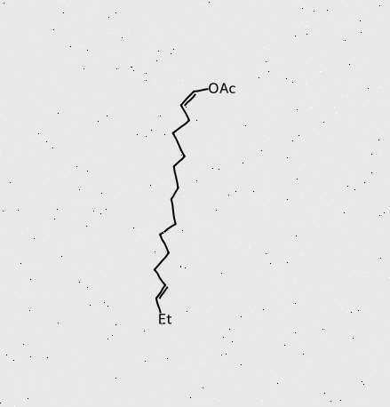 CCC=CCCCCCCCCCC/C=C\OC(C)=O